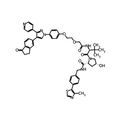 Cc1ncsc1-c1ccc(CNC(=O)[C@H]2C[C@@H](O)CN2C(=O)[C@@H](NC(=O)COCCOc2ccc(-n3cc(-c4ccc5c(c4)CCC5=O)c(-c4ccncc4)n3)cc2)C(C)(C)C)cc1